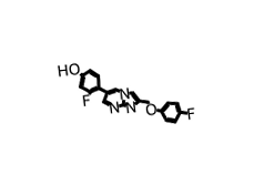 Oc1ccc(-c2cnc3nc(COc4ccc(F)cc4)cn3c2)c(F)c1